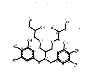 OCC(O)COCC(COCC(O)CO)N(Cc1cc(O)c(O)c(O)c1)Cc1cc(O)c(O)c(O)c1